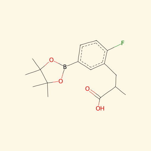 CC(Cc1cc(B2OC(C)(C)C(C)(C)O2)ccc1F)C(=O)O